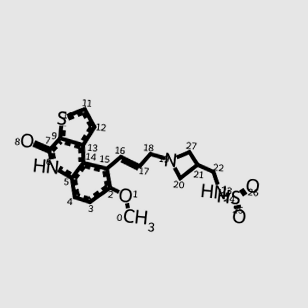 COc1ccc2[nH]c(=O)c3sccc3c2c1/C=C/CN1CC(CN[SH](=O)=O)C1